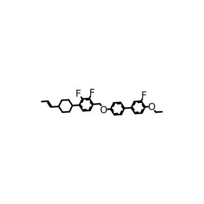 C/C=C/C1CCC(c2ccc(COc3ccc(-c4ccc(OCC)c(F)c4)cc3)c(F)c2F)CC1